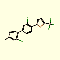 Cc1ccc(-c2ccc(-c3ccc(C(F)(F)F)s3)c(F)c2)c(F)c1